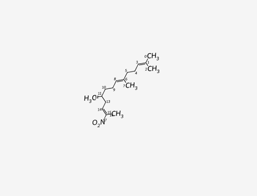 CC(C)=CCC/C(C)=C/CCC(C)C/C=C(\C)[N+](=O)[O-]